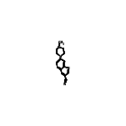 CN1CCN(c2ccc3cc(C#N)cnc3c2)CC1